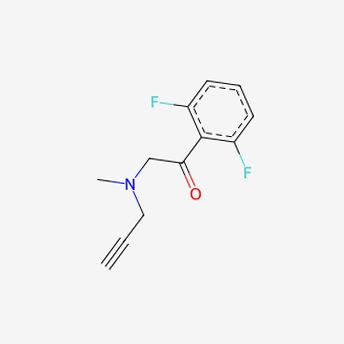 C#CCN(C)CC(=O)c1c(F)cccc1F